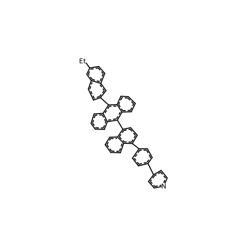 CCc1ccc2cc(-c3c4ccccc4c(-c4ccc(-c5ccc(-c6ccncc6)cc5)c5ccccc45)c4ccccc34)ccc2c1